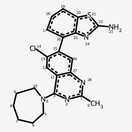 Cc1nc(N2CCCCCC2)c2cc(Cl)c(-c3cccc4sc(N)nc34)cc2n1